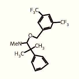 CNC(OCc1cc(C(F)(F)F)cc(C(F)(F)F)c1)C(C)(C)c1ccccc1